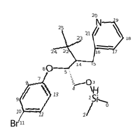 C[SiH](C)OC[C@H](Oc1ccc(Br)cc1)C(Cc1cccnc1)C(C)(C)C